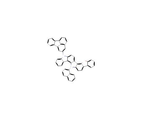 c1ccc2c(c1)-c1cccc3cc(-n4c5ccccc5c5c4ccc4c6c7oc8ccccc8c7ccc6n(-c6cccc7ccccc67)c45)cc-2c13